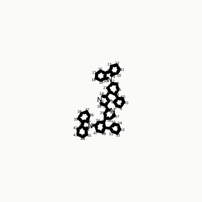 c1ccc(-c2ccc(-n3c4ccccc4c4ccccc43)cc2-c2cncc(-c3cc(-c4cc(-n5c6ccccc6c6ccccc65)ccc4-c4ccccc4)ccn3)c2)cc1